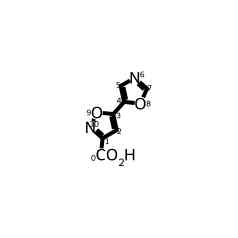 O=C(O)c1cc(-c2cnco2)on1